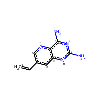 C=Cc1cnc2c(N)nc(N)nc2c1